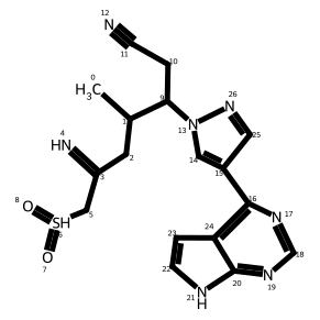 CC(CC(=N)C[SH](=O)=O)C(CC#N)n1cc(-c2ncnc3[nH]ccc23)cn1